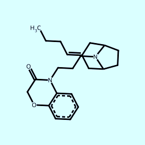 CCCC=C1CC2CCC(C1)N2CCCN1C(=O)COc2ccccc21